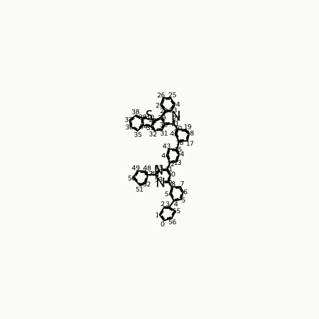 c1ccc(-c2cccc(-c3cc(-c4ccc(-c5cccc(-c6nc7ccccc7c7c6ccc6c8ccccc8sc67)c5)cc4)nc(-c4ccccc4)n3)c2)cc1